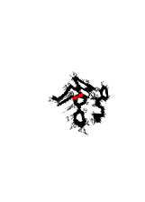 C=C/C=C\C=C(/c1ccccc1)N(c1cccc(-c2ccccc2)c1)c1ccccc1C(/C=C\C)=C/C=C